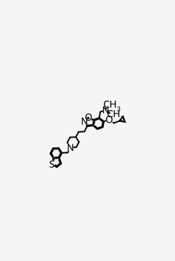 CN(C)Cc1c(OCC2CC2)ccc2c(CCC3CCN(Cc4cccc5sccc45)CC3)noc12